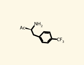 CC(=O)[C@@H](N)Cc1ccc(C(F)(F)F)cc1